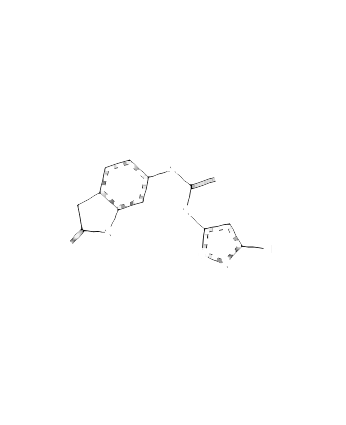 C=C(Nc1ccc2c(c1)NC(=O)C2)Nc1cc(C(C)(C)C)no1